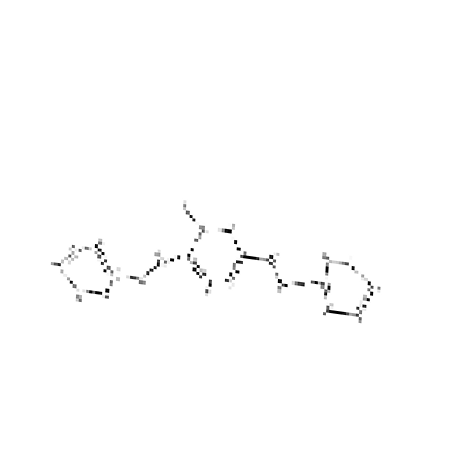 CC(CC(=O)OCc1ccccc1)C(=O)OCc1ccccc1